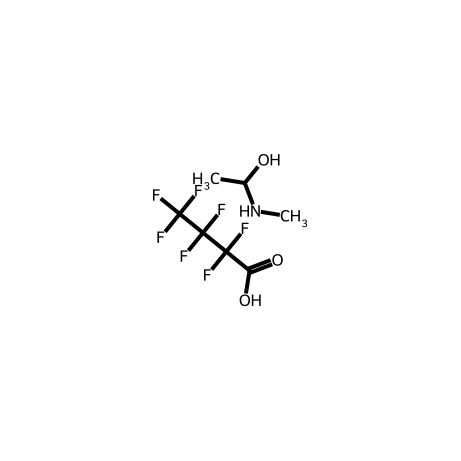 CNC(C)O.O=C(O)C(F)(F)C(F)(F)C(F)(F)F